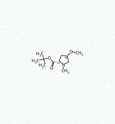 CO[C@@H]1C[C@@H](C(=O)OC(C)(C)C)N(C)C1